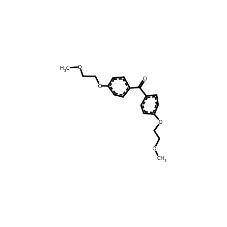 COCCOc1ccc(C(=O)c2ccc(OCCOC)cc2)cc1